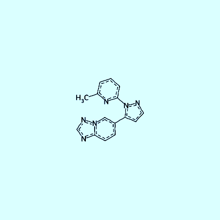 Cc1cccc(-n2nccc2-c2ccc3ncnn3c2)n1